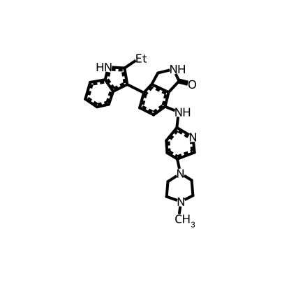 CCc1[nH]c2ccccc2c1-c1ccc(Nc2ccc(N3CCN(C)CC3)cn2)c2c1CNC2=O